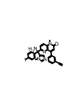 C#Cc1cccc(-c2cc(=O)n(C)c3ccc([C@](N)(c4ccc(I)cc4)c4cncn4C)nc23)c1